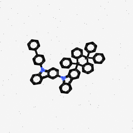 c1ccc(-c2ccc(-n3c4ccccc4c4cc(-n5c6ccccc6c6ccc([Si]7(c8ccccc8)c8ccccc8[Si](c8ccccc8)(c8ccccc8)c8ccccc87)cc65)ccc43)cc2)cc1